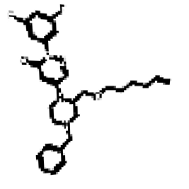 C=CCCCCOCC1CN(Cc2ccccc2)CCN1c1cnn(-c2cc(F)cc(F)c2)c(=O)c1